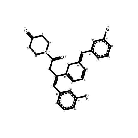 O=C1CCN(C(=O)CC(=Cc2cccc(Br)c2)C2=CC=CC(=Cc3cccc(Br)c3)C2)CC1